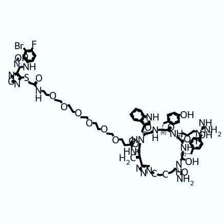 C=C1c2cn(nn2)CCCC[C@@H](C(N)=O)NC(O)[C@@H](Cc2ccc(O)cc2)NC(=O)[C@@H](CCCNC(=N)N)NC(=O)[C@@H](Cc2ccc(O)cc2)NC(=O)[C@@H](Cc2c[nH]c3ccccc23)NC(=O)[C@H]1NC(=O)CCOCCOCCOCCOCCOCCOCCNC(=O)CSc1nonc1/C(=N/O)Nc1ccc(F)c(Br)c1